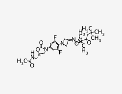 CC(=O)NC[C@H]1CN(c2cc(F)c(N3CC(=NO[Si](C)(C)C(=O)CC(C)(C)C)C3)c(F)c2)C(=O)O1